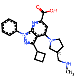 CNC[C@@H]1CCN(c2cc(C(=O)O)nc3c2c(C2CCC2)nn3-c2ccccc2)C1